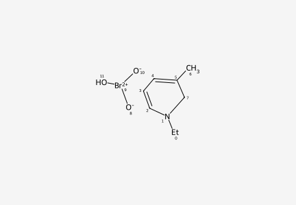 CCN1C=CC=C(C)C1.[O-][Br+2]([O-])O